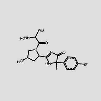 CC(=O)NC(C(=O)N1C[C@H](O)CC1C1=NC(=O)C(C)(c2ccc(Br)cc2)N1)C(C)(C)C